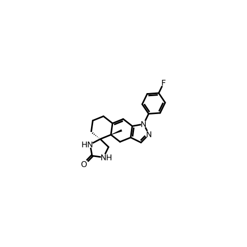 C[C@]12Cc3cnn(-c4ccc(F)cc4)c3C=C1CCC[C@@]21CNC(=O)N1